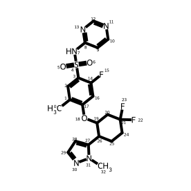 Cc1cc(S(=O)(=O)Nc2ccncn2)c(F)cc1OC1CC(F)(F)CCC1c1ccnn1C